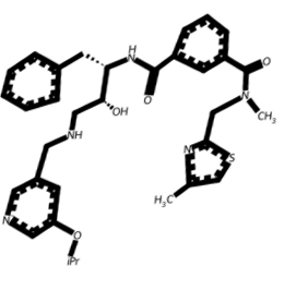 Cc1csc(CN(C)C(=O)c2cccc(C(=O)N[C@@H](Cc3ccccc3)[C@H](O)CNCc3cncc(OC(C)C)c3)c2)n1